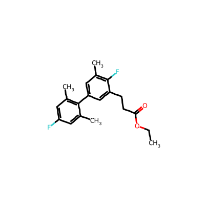 CCOC(=O)CCc1cc(-c2c(C)cc(F)cc2C)cc(C)c1F